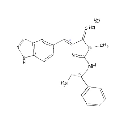 CN1C(=O)/C(=C/c2ccc3[nH]ncc3c2)N=C1N[C@@H](CN)c1ccccc1.Cl.Cl